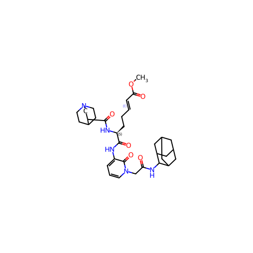 COC(=O)/C=C/CC[C@H](NC(=O)C1CN2CCC1CC2)C(=O)Nc1cccn(CC(=O)NC2C3CC4CC(C3)CC2C4)c1=O